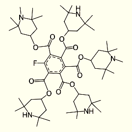 CN1C(C)(C)CC(OC(=O)c2c(F)c(C(=O)OC3CC(C)(C)NC(C)(C)C3)c(C(=O)OC3CC(C)(C)NC(C)(C)C3)c(C(=O)OC3CC(C)(C)N(C)C(C)(C)C3)c2C(=O)OC2CC(C)(C)NC(C)(C)C2)CC1(C)C